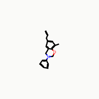 C=CCc1cc(C)c2c(c1)CN(c1ccccc1)CO2